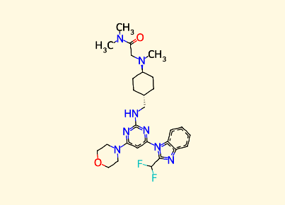 CN(C)C(=O)CN(C)[C@H]1CC[C@H](CNc2nc(N3CCOCC3)cc(-n3c(C(F)F)nc4ccccc43)n2)CC1